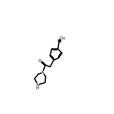 C#Cc1ccc(CC(=O)N2CCNCC2)cc1